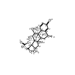 CCC(=O)O[C@@]1(C(O)=S)[C@H](C)C[C@H]2[C@@H]3C[C@H](F)C4=CC(=O)C=C[C@]4(C)[C@@]3(F)[C@H](O)C[C@@]21C